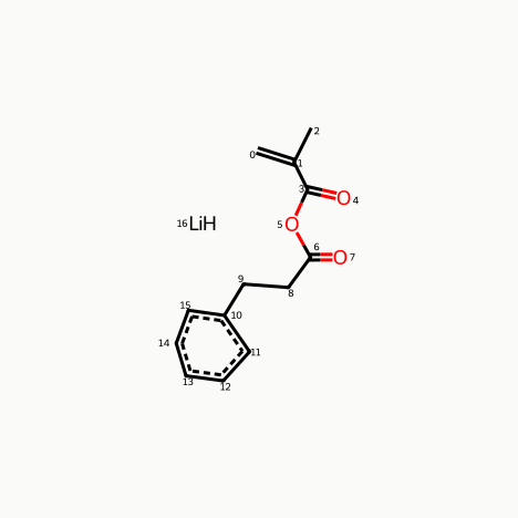 C=C(C)C(=O)OC(=O)CCc1ccccc1.[LiH]